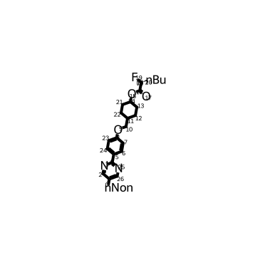 CCCCCCCCCc1cnc(-c2ccc(OCC3CCC(OC(=O)[C@H](F)CCCC)CC3)cc2)nc1